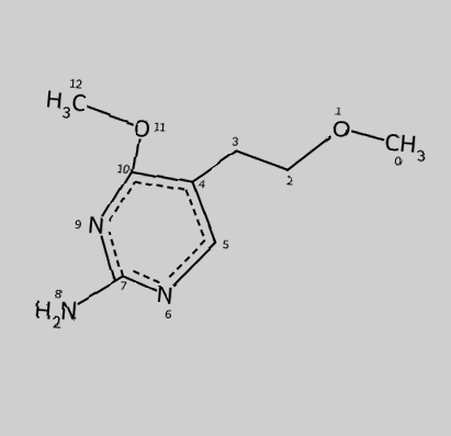 COCCc1cnc(N)nc1OC